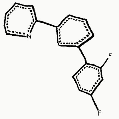 Fc1ccc(-c2cccc(-c3ccccn3)c2)c(F)c1